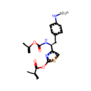 C=C(C)OC(=O)N[C@@H](Cc1ccc(NS(=O)(=O)O)cc1)c1csc(OC(=O)C(=C)C)n1